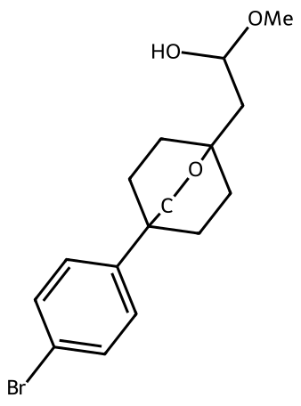 COC(O)CC12CCC(c3ccc(Br)cc3)(CC1)CO2